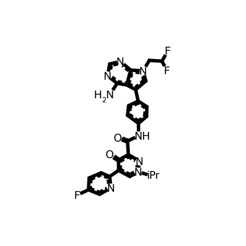 CC(C)n1cc(-c2ccc(F)cn2)c(=O)c(C(=O)Nc2ccc(-c3cn(CC(F)F)c4ncnc(N)c34)cc2)n1